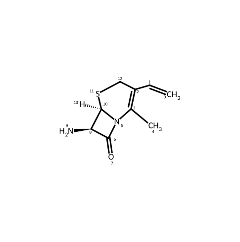 C=CC1=C(C)N2C(=O)[C@@H](N)[C@H]2SC1